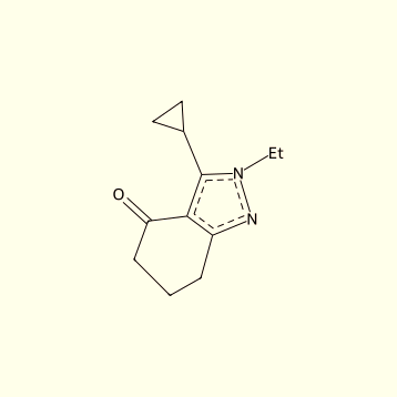 CCn1nc2c(c1C1CC1)C(=O)CCC2